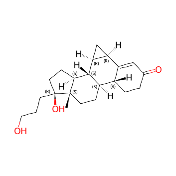 C[C@]12CC[C@H]3[C@@H]([C@H]4C[C@H]4C4=CC(=O)CC[C@@H]43)[C@@H]1CC[C@@]2(O)CCCO